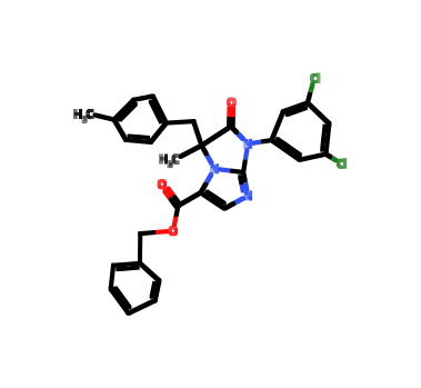 Cc1ccc(CC2(C)C(=O)N(c3cc(Cl)cc(Cl)c3)c3ncc(C(=O)OCc4ccccc4)n32)cc1